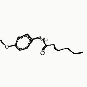 CCCCCC(=O)Nc1ccc(OC)cc1